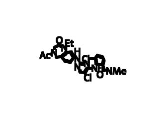 CCN1C(=O)CN(C(C)=O)Cc2ccc(Nc3ncc(Cl)c(Nc4c(Cl)cccc4C(=O)NC)n3)cc21